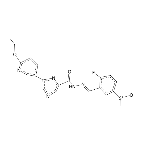 CCOc1ccc(-c2cncc(C(=O)N/N=C/c3cc([S+](C)[O-])ccc3F)n2)cn1